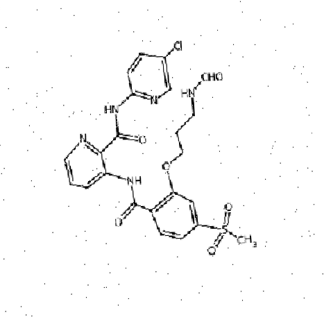 CS(=O)(=O)c1ccc(C(=O)Nc2cccnc2C(=O)Nc2ccc(Cl)cn2)c(OCCCNC=O)c1